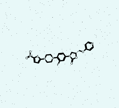 O=C1O[C@@H](COc2ccncc2)CN1c1ccc(N2CCN(c3ccc([N+](=O)[O-])s3)CC2)c(F)c1